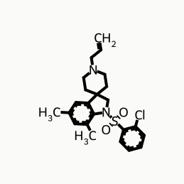 C=CCN1CCC2(CC1)CN(S(=O)(=O)c1ccccc1Cl)c1c(C)cc(C)cc12